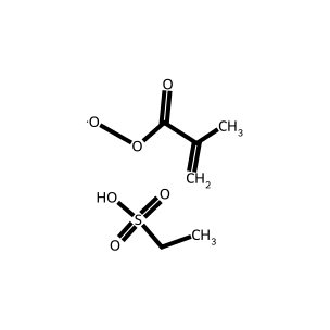 C=C(C)C(=O)O[O].CCS(=O)(=O)O